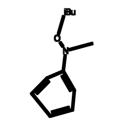 CCC(C)ON(C)c1ccccc1